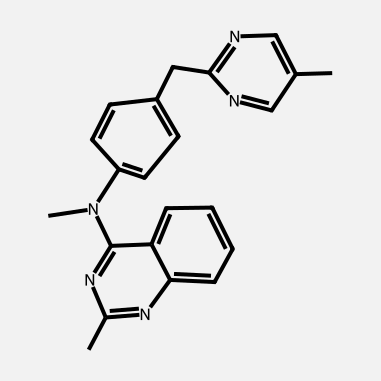 Cc1cnc(Cc2ccc(N(C)c3nc(C)nc4ccccc34)cc2)nc1